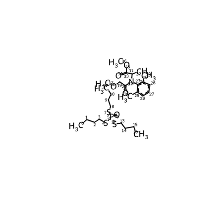 CCCCSP(=O)(SCCCC)SCCCC.COCC(=O)N(c1c(C)cccc1C)C(C)C(=O)OC